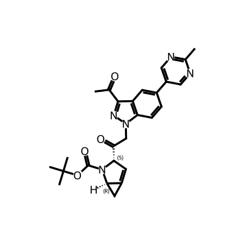 CC(=O)c1nn(CC(=O)[C@@H]2C=C3C[C@H]3N2C(=O)OC(C)(C)C)c2ccc(-c3cnc(C)nc3)cc12